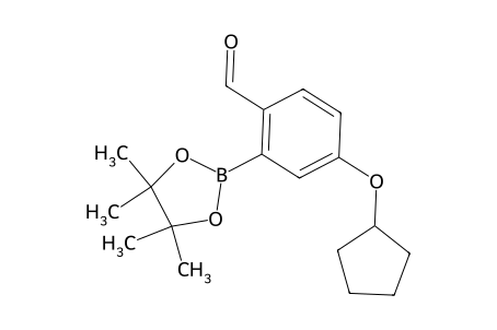 CC1(C)OB(c2cc(OC3CCCC3)ccc2C=O)OC1(C)C